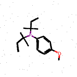 CCC(C)(C)P(c1ccc(OC)cc1)C(C)(C)CC